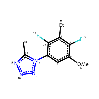 CCc1c(F)c(OC)cc(-n2nnnc2C)c1F